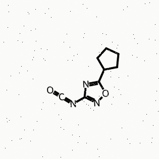 O=C=Nc1noc(C2CCCC2)n1